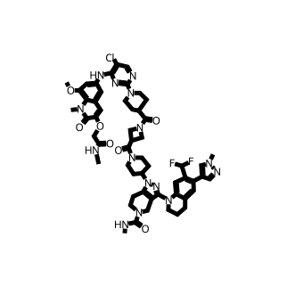 CNC(=O)COc1cc2cc(Nc3nc(N4CCC(C(=O)N5CC(C(=O)N6CCC(n7nc(N8CCCc9cc(-c%10cnn(C)c%10)c(C(F)F)cc98)c8c7CCN(C(=O)NC)C8)CC6)C5)CC4)ncc3Cl)cc(OC)c2n(C)c1=O